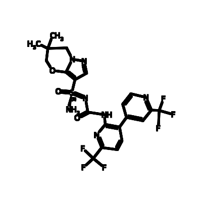 CC1(C)COc2c([S@@](N)(=O)=NC(=O)Nc3nc(C(F)(F)F)ccc3-c3ccnc(C(F)(F)F)c3)cnn2C1